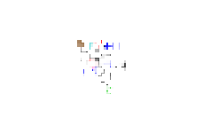 O=C1NCC2[C@@H]1[C@H](c1cccc(Br)c1F)[C@]1(C(=O)Nc3cc(Cl)ccc31)N2CC1CC1